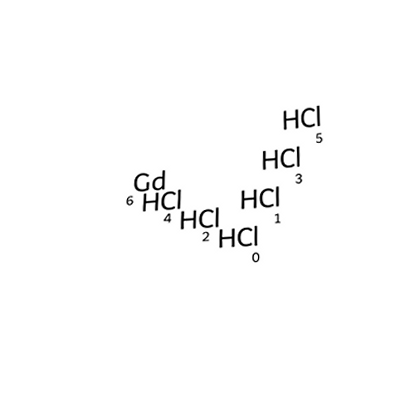 Cl.Cl.Cl.Cl.Cl.Cl.[Gd]